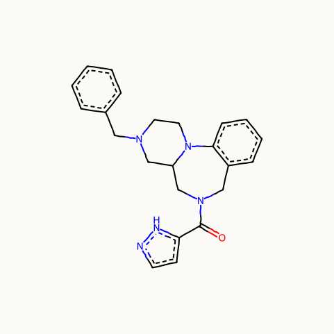 O=C(c1ccn[nH]1)N1Cc2ccccc2N2CCN(Cc3ccccc3)CC2C1